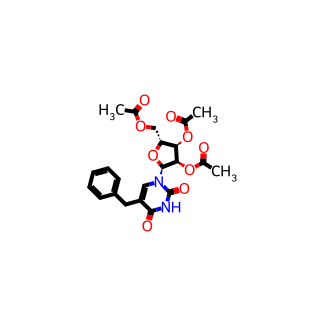 CC(=O)OC[C@H]1O[C@@H](n2cc(Cc3ccccc3)c(=O)[nH]c2=O)[C@H](OC(C)=O)[C@H]1OC(C)=O